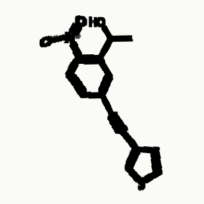 CC(O)c1cc(C#Cc2ccsc2)ccc1[N+](=O)[O-]